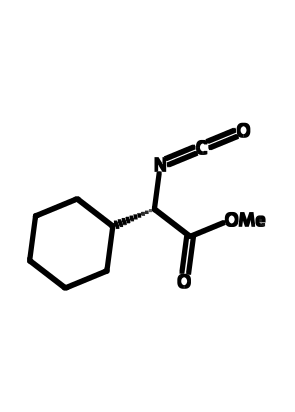 COC(=O)[C@@H](N=C=O)C1CCCCC1